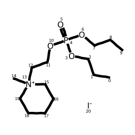 CCCOP(=O)(OCCC)OCC[N+]1(C)CCCCC1.[I-]